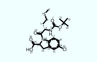 CSCC[C@H](NC(=O)OC(C)(C)C)C(=O)N1c2ccc(Cl)cc2CC1C(=O)O